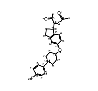 CC(=O)SC(C(C)=O)[C@@H]1CCc2cc(OC3CCN(c4ccc(F)cn4)CC3)ccc21